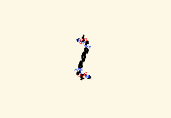 CC(C)CC(C)(OC(=O)N1CCC1)C(=O)N[C@H](c1nc2cc(-c3ccc(-c4ccc5[nH]c([C@@H](NC(=O)C(C)(CC(C)C)OC(=O)N6CCC6)C(C)(C)C)nc5c4)cc3)ccc2[nH]1)C(C)(C)C